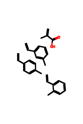 C=C(C)C(=O)O.C=Cc1ccc(C)cc1.C=Cc1cccc(C)c1.C=Cc1ccccc1C